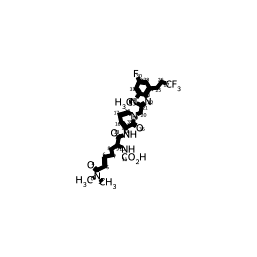 CN(C)C(=O)C=CCCC(NC(=O)O)C(=O)Nc1cccn(Cc2nc3c(CCC(F)(F)F)cc(F)cc3n2C)c1=O